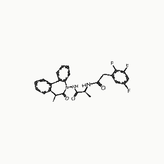 CC1C(=O)N(NC(=O)[C@H](C)NC(=O)Cc2cc(F)cc(F)c2F)c2ccccc2-c2ccccc21